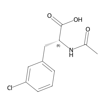 CC(=O)N[C@H](Cc1cccc(Cl)c1)C(=O)O